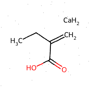 C=C(CC)C(=O)O.[CaH2]